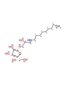 CCCCCCCCCNCC(O)CO[C@@H]1O[C@H](CO)[C@H](O)[C@H](O)[C@H]1O